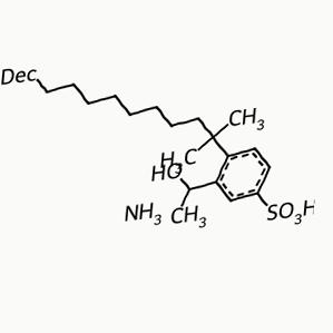 CCCCCCCCCCCCCCCCCCC(C)(C)c1ccc(S(=O)(=O)O)cc1C(C)O.N